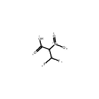 O=C(O)C(C(F)F)[N+](=O)[O-]